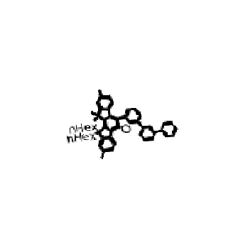 CCCCCCC1(CCCCCC)c2cc(C)ccc2-c2c1c1c(c3c2oc2c(-c4cccc(-c5ccccc5)c4)cccc23)-c2ccc(C)cc2C1(C)C